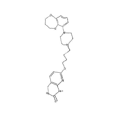 O=C1NCc2ccc(OCCCCN3CCN(c4cccc5c4OCCCO5)CC3)nc2N1